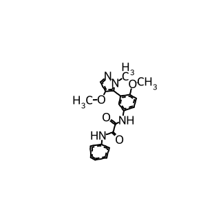 COc1ccc(NC(=O)C(=O)Nc2ccccc2)cc1-c1c(OC)cnn1C